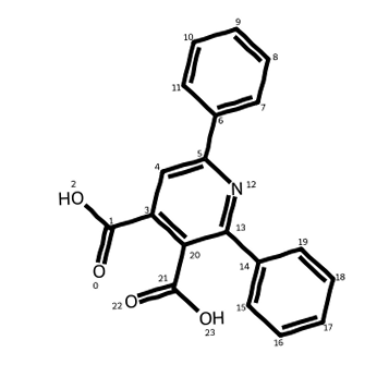 O=C(O)c1cc(-c2ccccc2)nc(-c2ccccc2)c1C(=O)O